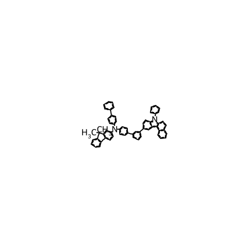 CC1(C)c2ccccc2-c2ccc(N(c3ccc(-c4ccccc4)cc3)c3ccc(-c4cccc(-c5ccc6c(c5)c5c7ccccc7ccc5n6-c5ccccc5)c4)cc3)cc21